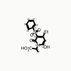 CCc1cc(O)n(C(C)C(=O)O)c(=O)c1S(=O)(=O)c1ccccc1